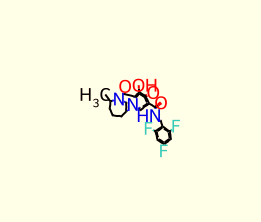 CC1CCCC2CN1C(=O)c1c(O)c(=O)c(C(=O)NCc3c(F)cc(F)cc3F)cn12